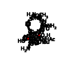 CC[C@H](C)C(NC(C)=O)C(=O)N1CCC[C@H]1C(=O)N1CCC[C@H]1C(=O)N[C@@H](CCCCN)C(=O)N[C@@H](Cc1ccc(O)cc1)C(=O)N[C@H]1CSCc2ccc(cc2)CSC[C@@H](C(N)=O)N2CC(C)CC(NC(=O)[C@H](CCC(N)=O)NC(=O)[C@H](CCC(=O)O)NC1=O)C2=O